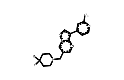 FC1(F)CCN(Cc2cnc3c(-c4ccnc(C(F)(F)F)c4)cnn3c2)CC1